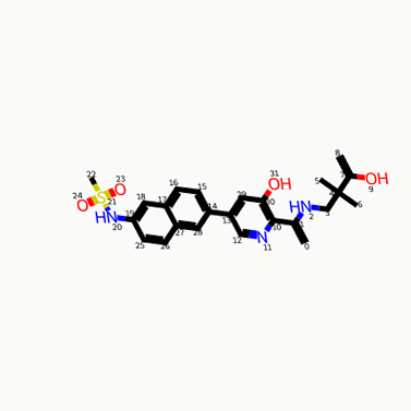 C=C(NCC(C)(C)C(=C)O)c1ncc(-c2ccc3cc(NS(C)(=O)=O)ccc3c2)cc1O